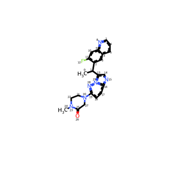 CC(c1cc2cccnc2cc1F)c1cnc2ccc(N3CCN(C)C(=O)C3)nn12